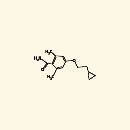 Cc1cc(OCCC2CC2)cc(C)c1C(N)=O